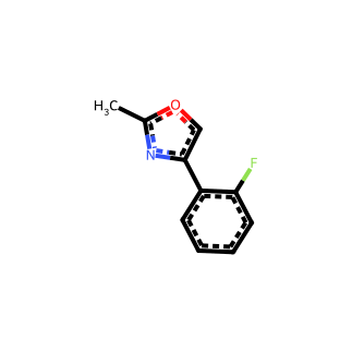 Cc1nc(-c2ccccc2F)co1